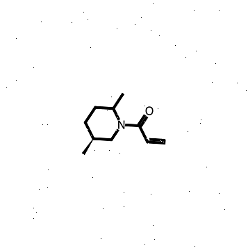 C=CC(=O)N1C[C@@H](C)CCC1C